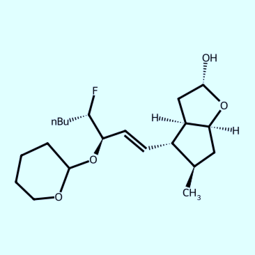 CCCC[C@H](F)[C@@H](C=C[C@@H]1[C@H]2C[C@H](O)O[C@H]2C[C@H]1C)OC1CCCCO1